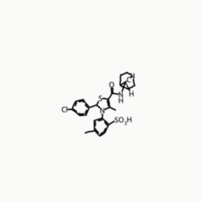 CC1=C(C(=O)N[C@H]2CN3CCC2CC3)SC(c2ccc(Cl)cc2)N1c1cc(C)ccc1S(=O)(=O)O